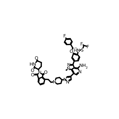 C[C@H](Oc1cc(-c2nn(C)c3c(-c4cnn(C5CCN(CCc6cccc7c6C(=O)N(C6CCC(=O)NC6=O)C7=O)CC5)c4)cnc(N)c23)ccc1NSC(F)F)c1ccc(F)cc1